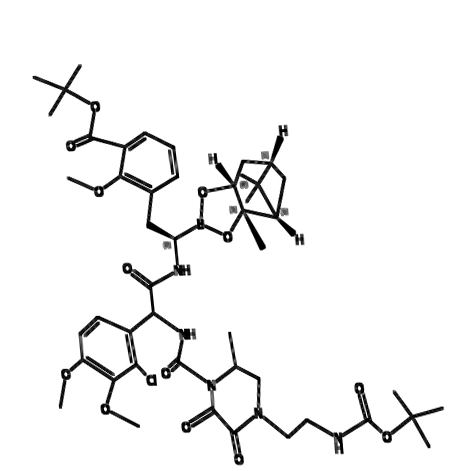 COc1ccc(C(NC(=O)N2C(=O)C(=O)N(CCNC(=O)OC(C)(C)C)CC2C)C(=O)N[C@@H](Cc2cccc(C(=O)OC(C)(C)C)c2OC)B2O[C@@H]3C[C@@H]4C[C@@H](C4(C)C)[C@]3(C)O2)c(Cl)c1OC